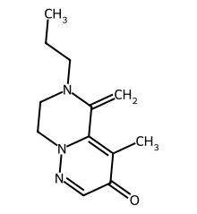 C=C1c2c(C)c(=O)cnn2CCN1CCC